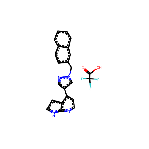 O=C(O)C(F)(F)F.c1ccc2cc(Cn3cc(-c4ccnc5[nH]ccc45)cn3)ccc2c1